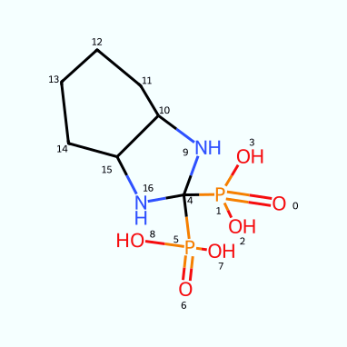 O=P(O)(O)C1(P(=O)(O)O)NC2CCCCC2N1